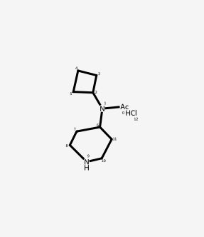 CC(=O)N(C1CCC1)C1CCNCC1.Cl